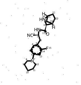 N#C[C@H](Cc1ccc(N2CCCCC2)cc1F)NC(=O)[C@H]1N[C@@H]2CC[C@H]1C2